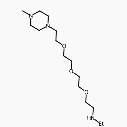 CCNCCOCCOCCOCCN1CCN(C)CC1